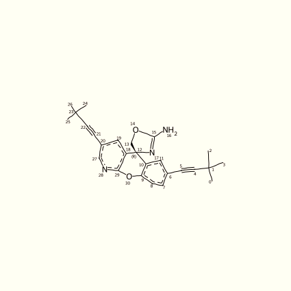 CC(C)(C)C#Cc1ccc2c(c1)[C@]1(COC(N)=N1)c1cc(C#CC(C)(C)C)cnc1O2